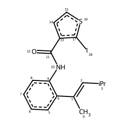 CC(=CC(C)C)c1ccccc1NC(=O)c1ccsc1I